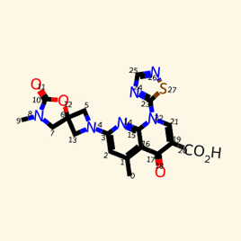 Cc1cc(N2CC3(CN(C)C(=O)O3)C2)nc2c1c(=O)c(C(=O)O)cn2-c1ncns1